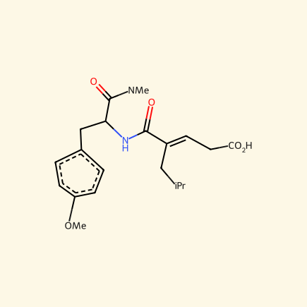 CNC(=O)C(Cc1ccc(OC)cc1)NC(=O)C(=CCC(=O)O)CC(C)C